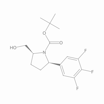 CC(C)(C)OC(=O)N1[C@H](CO)CC[C@@H]1c1cc(F)c(F)c(F)c1